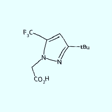 CC(C)(C)c1cc(C(F)(F)F)n(CC(=O)O)n1